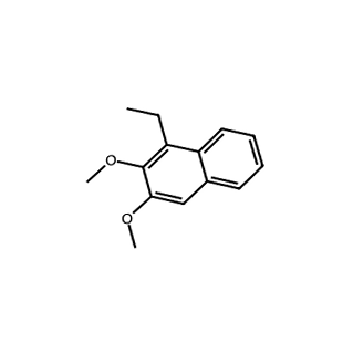 CCc1c(OC)c(OC)cc2ccccc12